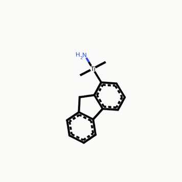 [CH3][Ti]([CH3])([NH2])[c]1cccc2c1Cc1ccccc1-2